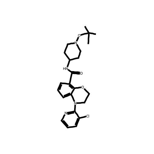 CC(C)(C)ON1CCC(NC(=O)c2cccc3c2OCCN3c2ncccc2Cl)CC1